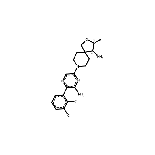 C[C@@H]1OCC2(CCN(c3cnc(-c4cccc(Cl)c4Cl)c(N)n3)CC2)[C@@H]1N